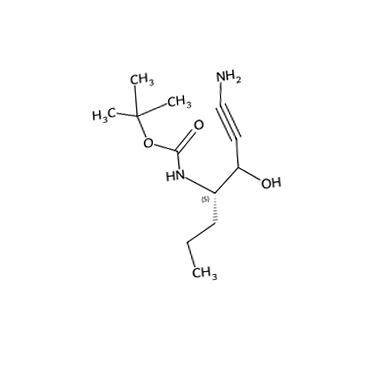 CCC[C@H](NC(=O)OC(C)(C)C)C(O)C#CN